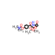 CCO[C@](NC1=CCC1=O)(C(=O)OC)C(=O)c1ccc(OC(=O)N(C)C)cc1